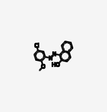 COc1ccc(Cl)cc1/N=N/c1c(O)ccc2ccccc12